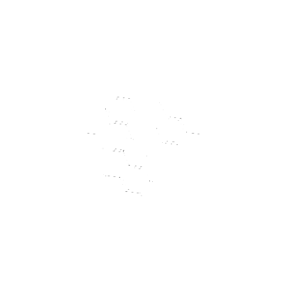 COc1ccccc1NC(=O)c1c(N)cccc1S(=O)(=O)c1cc(C)cc(C)c1